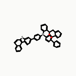 C1=CC(c2ccccc2N(c2ccc(-c3ccccc3)cc2)c2ccc(-c3ccc4c(c3)sc3ccc5ccccc5c34)cc2)Cc2ccccc21